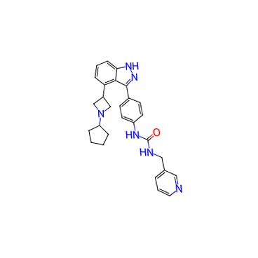 O=C(NCc1cccnc1)Nc1ccc(-c2n[nH]c3cccc(C4CN(C5CCCC5)C4)c23)cc1